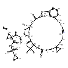 C=C[C@H]1C[C@@]1(NC(=O)[C@@H]1C[C@@H]2CN1C(=O)[C@H](C(C)(C)C)NC(=O)OCC1(CC/C=C/COc3cccc4c3CN(C4)C(=O)O2)CC1)C(=O)NS(=O)(=O)C1CC1